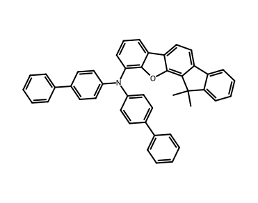 CC1(C)c2ccccc2-c2ccc3c(oc4c(N(c5ccc(-c6ccccc6)cc5)c5ccc(-c6ccccc6)cc5)cccc43)c21